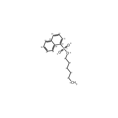 CCCCCCOS(=O)(=O)c1cccc2ccccc12